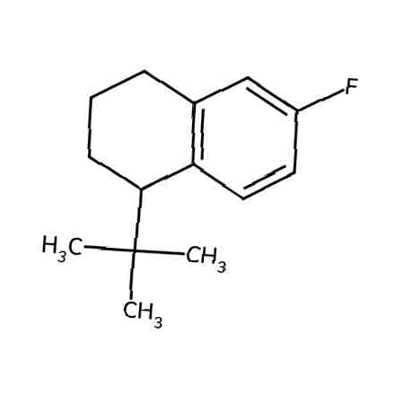 CC(C)(C)C1CCCc2cc(F)ccc21